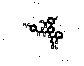 CCCC(Oc1ccc(-c2cc(F)ccc2C(=O)O)cc1NC(=O)Nc1ccc(C)cc1)c1ccccc1Cl